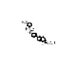 O=C(O)CC1(F)CCc2cc(-c3ccc(NC(=O)Nc4cccc(C(F)(F)F)c4)cc3)ccc2C1=O